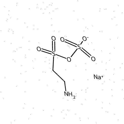 NCCS(=O)(=O)OS(=O)(=O)[O-].[Na+]